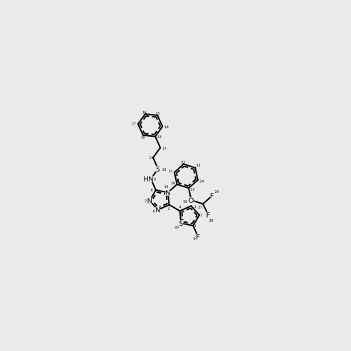 Fc1ccc(-c2nnc(NSCCc3ccccc3)n2-c2ccccc2OC(F)F)s1